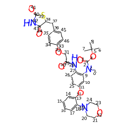 CN(C(=O)OC(C)(C)C)c1cc(Oc2ccccc2N2CCOCC2)ccc1NC(=O)COc1ccc(CC2SC(=O)NC2=O)cc1